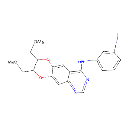 COCC1Oc2cc3ncnc(Nc4cccc(I)c4)c3cc2OC1COC